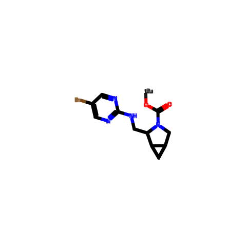 CC(C)(C)OC(=O)N1CC2CC2C1CNc1ncc(Br)cn1